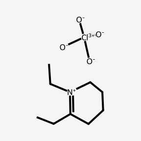 CCC1=[N+](CC)CCCC1.[O-][Cl+3]([O-])([O-])[O-]